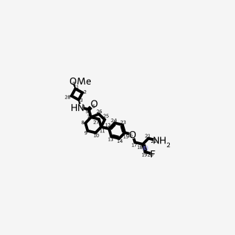 CO[C@H]1C[C@@H](NC(=O)C23CCCC(c4ccc(OC/C(=C/F)CN)cc4)(CC2)C3)C1